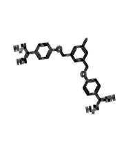 Cc1cc(COc2ccc(C(=N)N)cc2)cc(COc2ccc(C(=N)N)cc2)c1